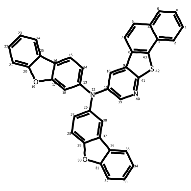 c1ccc2c(c1)ccc1c3cc(N(c4ccc5c(c4)oc4ccccc45)c4ccc5oc6ccccc6c5c4)cnc3sc21